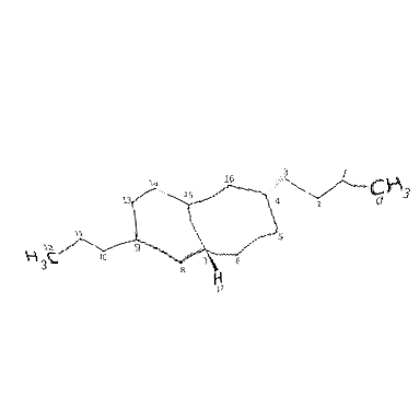 CCCC[C@@H]1CC[C@@H]2CC(CCC)CCC2C1